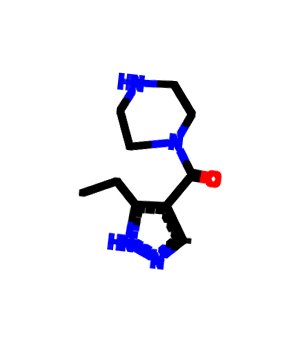 CCc1[nH]n[c]c1C(=O)N1CCNCC1